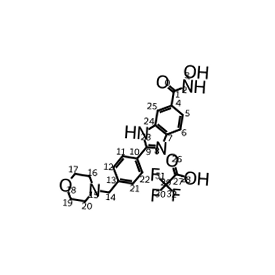 O=C(NO)c1ccc2nc(-c3ccc(CN4CCOCC4)cc3)[nH]c2c1.O=C(O)C(F)(F)F